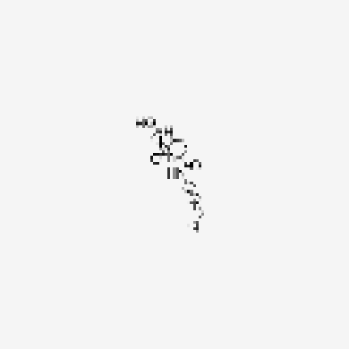 O=C(NC1CC2(C1)CN(CC1CC1)C2)C1CC[C@@H]2CN1C(=O)N2OSO